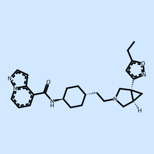 CCc1cc([C@]23C[C@H]2CN(CC[C@H]2CC[C@H](NC(=O)c4cccn5nccc45)CC2)C3)no1